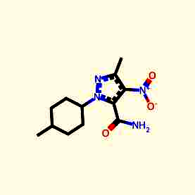 Cc1nn(C2CCC(C)CC2)c(C(N)=O)c1[N+](=O)[O-]